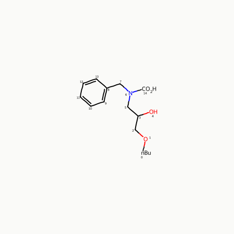 CCCCOCC(O)CN(Cc1ccccc1)C(=O)O